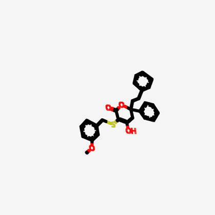 COc1cccc(CSC2=C(O)CC(CCc3ccccc3)(c3ccccc3)OC2=O)c1